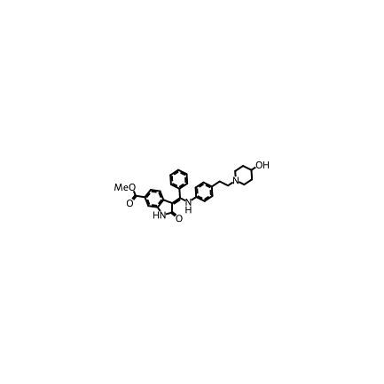 COC(=O)c1ccc2c(c1)NC(=O)/C2=C(\Nc1ccc(CCN2CCC(O)CC2)cc1)c1ccccc1